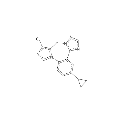 Clc1ncn2c1Cn1ncnc1-c1cc(C3CC3)ccc1-2